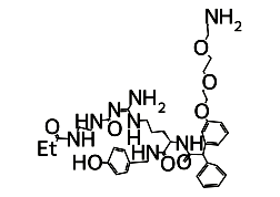 CCC(=O)NCCNC(=O)/N=C(/N)NCCC[C@@H](NC(=O)C(c1ccccc1)c1cccc(OCCOCCOCCN)c1)C(=O)NCc1ccc(O)cc1